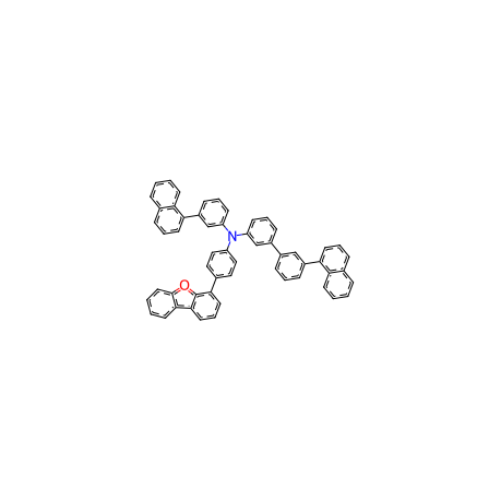 c1cc(-c2cccc(N(c3ccc(-c4cccc5c4oc4ccccc45)cc3)c3cccc(-c4cccc5ccccc45)c3)c2)cc(-c2cccc3ccccc23)c1